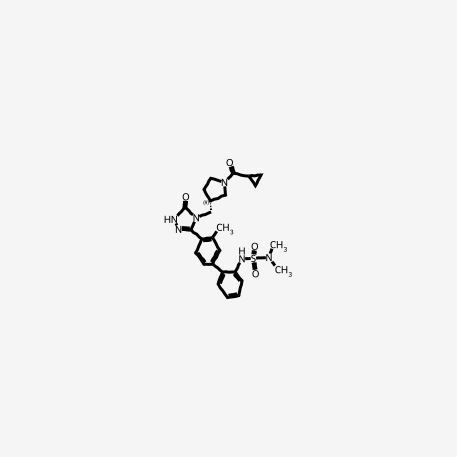 Cc1cc(-c2ccccc2NS(=O)(=O)N(C)C)ccc1-c1n[nH]c(=O)n1C[C@@H]1CCN(C(=O)C2CC2)C1